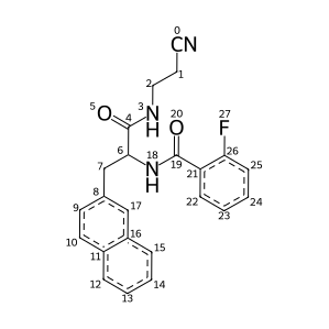 N#CCCNC(=O)C(Cc1ccc2ccccc2c1)NC(=O)c1ccccc1F